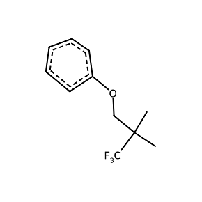 CC(C)(COc1ccccc1)C(F)(F)F